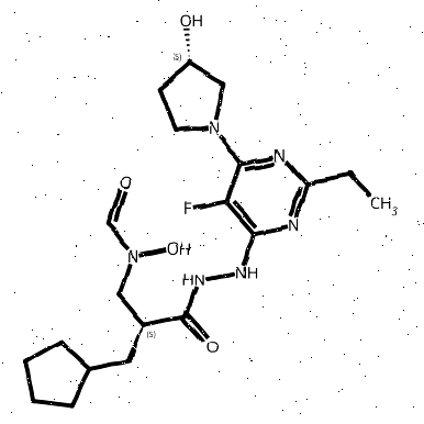 CCc1nc(NNC(=O)[C@@H](CC2CCCC2)CN(O)C=O)c(F)c(N2CC[C@H](O)C2)n1